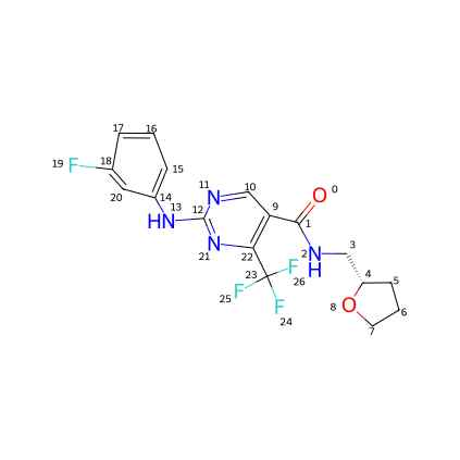 O=C(NC[C@@H]1CCCO1)c1cnc(Nc2cccc(F)c2)nc1C(F)(F)F